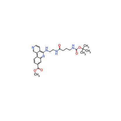 COC(=O)c1ccc2c(c1)nc(NCCNC(=O)CCCNC(=O)OC(C)(C)C)c1ccncc12